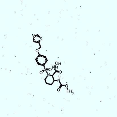 COC(=O)NC1CCCN(S(=O)(=O)c2ccc(OCc3cncs3)cc2)C1C(=O)NO